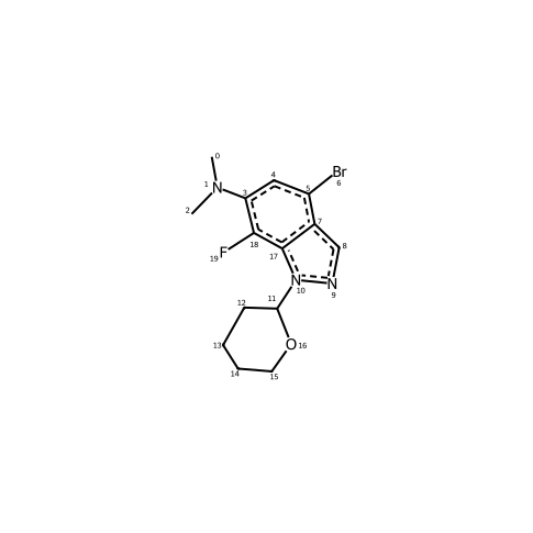 CN(C)c1cc(Br)c2cnn(C3CCCCO3)c2c1F